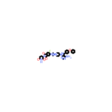 Nc1ncnc2c1c(-c1ccc(Oc3ccccc3)cc1)nn2C1CCN(N2CN(c3cc4c(cc3F)C(=O)N(C3CCC(=O)NC3=O)C4=O)C2)CC1